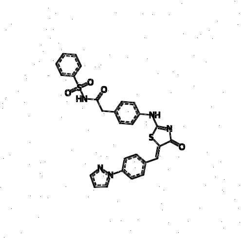 O=C(Cc1ccc(NC2=NC(=O)/C(=C/c3ccc(-n4cccn4)cc3)S2)cc1)NS(=O)(=O)c1ccccc1